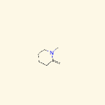 C=C1CCCCN1C